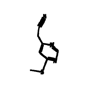 CSc1cc(CC#N)ncn1